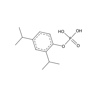 CC(C)c1ccc(OP(=O)(O)O)c(C(C)C)c1